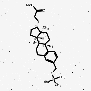 COC(=O)CC[C@H]1CC[C@H]2[C@@H]3CCc4cc(CO[Si](C)(C)C(C)(C)C)ccc4[C@H]3CC[C@]12C